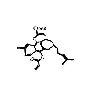 C=CC(=O)Oc1c2c(c(OC(=O)OC)c3cc(C)ccc13)CCC(CCC=C(C)C)C2